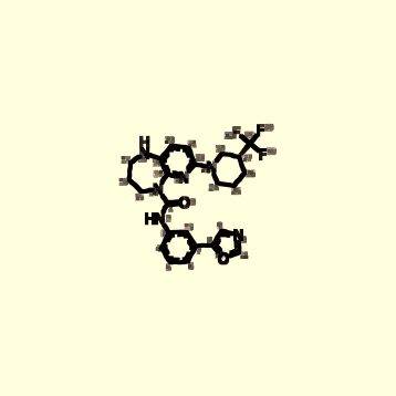 O=C(Nc1cccc(-c2cnco2)c1)N1CCCNc2ccc(N3CCC[C@H](C(F)(F)F)C3)nc21